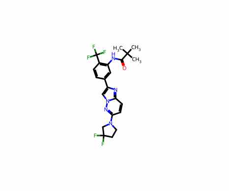 CC(C)(C)C(=O)Nc1cc(-c2cn3nc(N4CCC(F)(F)C4)ccc3n2)ccc1C(F)(F)F